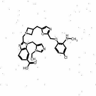 CCn1cncc1Cn1c(CN2CC(Cc3cnc(COc4ccc(Cl)cc4NC)o3)C2)nc2ccc(C(=O)O)cc21